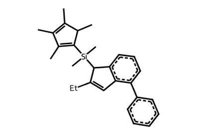 CCC1=Cc2c(-c3ccccc3)cccc2C1[Si](C)(C)C1=C(C)C(C)=C(C)C1C